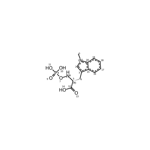 Cn1cc(C[C@@H](NOP(=O)(O)O)C(=O)O)c2ccccc21